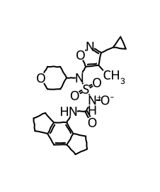 Cc1c(C2CC2)noc1N(C1CCOCC1)S(=O)(=O)[NH+]([O-])C(=O)Nc1c2c(cc3c1CCC3)CCC2